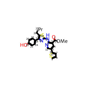 COC(=O)c1cc(-c2cccs2)cnc1Nc1nc(-c2ccc(O)cc2)c(CC(C)C)s1